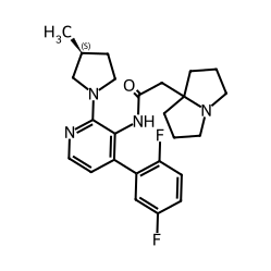 C[C@H]1CCN(c2nccc(-c3cc(F)ccc3F)c2NC(=O)CC23CCCN2CCC3)C1